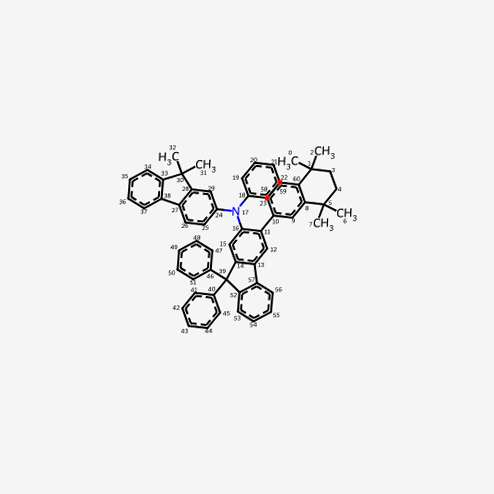 CC1(C)CCC(C)(C)c2cc(-c3cc4c(cc3N(c3ccccc3)c3ccc5c(c3)C(C)(C)c3ccccc3-5)C(c3ccccc3)(c3ccccc3)c3ccccc3-4)ccc21